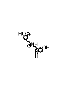 COc1cc(CCC(=O)NCCc2c[nH]c3ccc(O)cc23)ccc1O